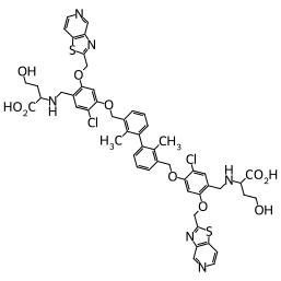 Cc1c(COc2cc(OCc3nc4cnccc4s3)c(CNC(CCO)C(=O)O)cc2Cl)cccc1-c1cccc(COc2cc(OCc3nc4cnccc4s3)c(CNC(CCO)C(=O)O)cc2Cl)c1C